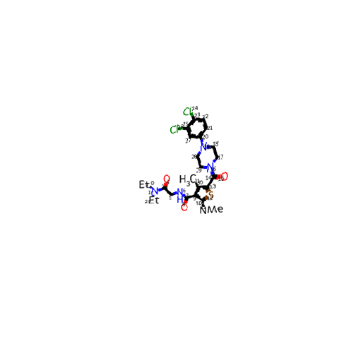 CCN(CC)C(=O)CNC(=O)c1c(NC)sc(C(=O)N2CCN(c3ccc(Cl)c(Cl)c3)CC2)c1C